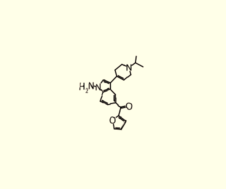 CC(C)N1CC=C(c2cn(N)c3ccc(C(=O)c4ccco4)cc23)CC1